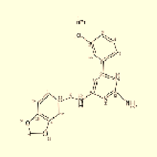 CCCOc1cccc(-c2cc(NCc3ccc4c(c3)OCO4)nc(N)n2)c1